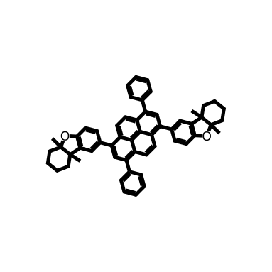 CC12CCCCC1(C)c1cc(-c3cc(-c4ccccc4)c4ccc5c(-c6ccc7c(c6)C6(C)CCCCC6(C)O7)cc(-c6ccccc6)c6ccc3c4c65)ccc1O2